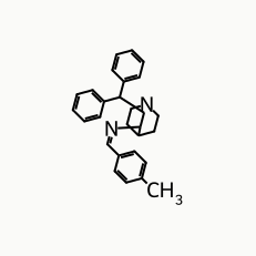 Cc1ccc(/C=N\C2C3CCN(CC3)C2C(c2ccccc2)c2ccccc2)cc1